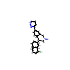 CN1Cc2cc(-c3cccnn3)ccc2C(c2ccc3cccc(F)c3c2)C1